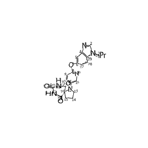 CC(C)n1cnc2cc(Oc3ccc(N4CCCC45C(=O)NC(=O)NC5=O)cn3)ccc21